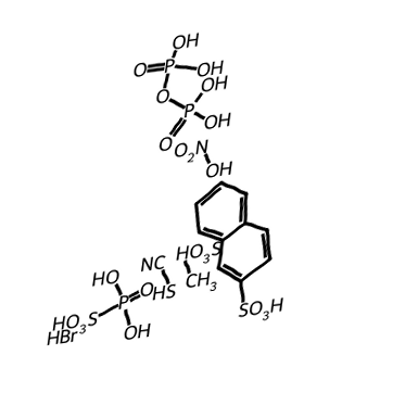 Br.CS(=O)(=O)O.N#CS.O=P(O)(O)OP(=O)(O)O.O=P(O)(O)S(=O)(=O)O.O=S(=O)(O)c1ccc2ccccc2c1.O=[N+]([O-])O